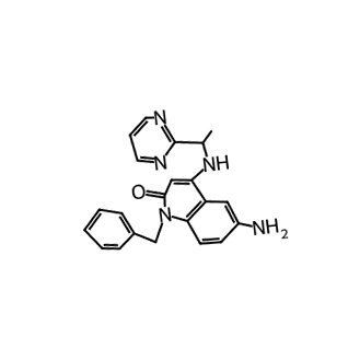 CC(Nc1cc(=O)n(Cc2ccccc2)c2ccc(N)cc12)c1ncccn1